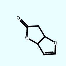 O=C1CC2OC=CC2O1